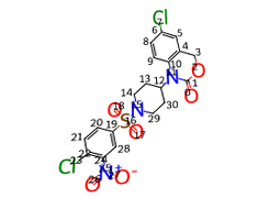 O=C1OCc2cc(Cl)ccc2N1C1CCN(S(=O)(=O)c2ccc(Cl)c([N+](=O)[O-])c2)CC1